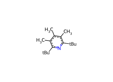 Cc1c(C(C)(C)C)nc(C(C)(C)C)c(C)c1C